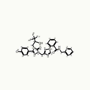 O=C(NCc1ccccn1)c1ccccc1-n1cnc(Cn2nc(-c3ccc(Cl)cc3)n(CC(O)C(F)(F)F)c2=O)n1